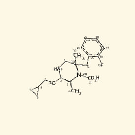 CC1C(OCC2CC2)NCC(C)(Cc2ccccc2F)N1C(=O)O